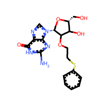 Nc1nc2c(ncn2[C@@H]2O[C@H](CO)C(O)C2OCCSc2ccccc2)c(=O)[nH]1